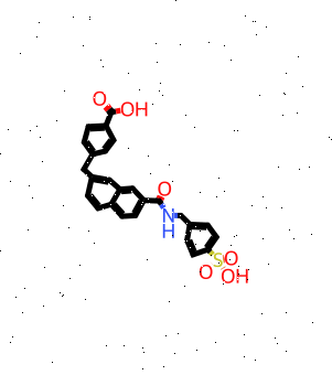 O=C(O)c1ccc(Cc2ccc3ccc(C(=O)NCc4ccc(S(=O)(=O)O)cc4)cc3c2)cc1